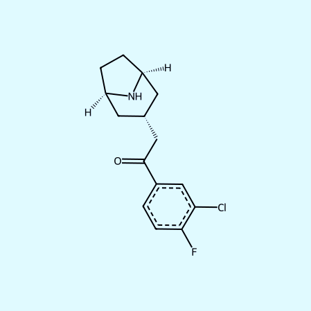 O=C(C[C@@H]1C[C@H]2CC[C@@H](C1)N2)c1ccc(F)c(Cl)c1